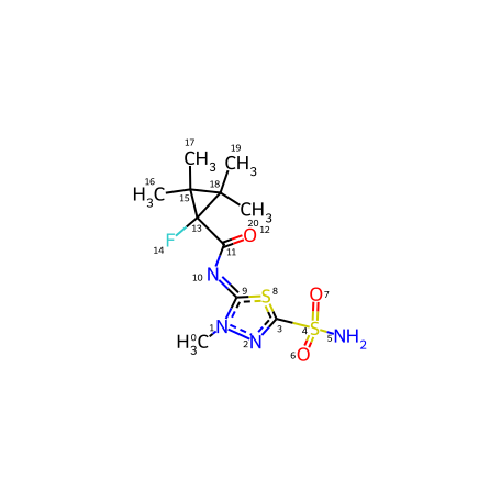 Cn1nc(S(N)(=O)=O)sc1=NC(=O)C1(F)C(C)(C)C1(C)C